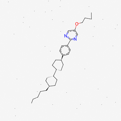 CCCCC[C@H]1CC[C@H]([C@H]2CC[C@H](c3ccc(-c4ncc(OCCCC)cn4)cc3)CC2)CC1